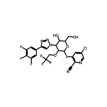 N#Cc1ncc(Cl)cc1SC1OC(CO)C(O)C(n2cc(-c3cc(F)c(F)c(F)c3)nn2)C1OCC(F)(F)F